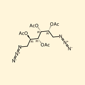 CC(=O)O[C@@H]([C@H](OC(C)=O)[C@@H](CN=[N+]=[N-])OC(C)=O)[C@@H](CN=[N+]=[N-])OC(C)=O